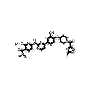 COc1nc(Nc2nccc(-c3ccc(OC4CCN(C(=O)c5n[nH]c(C)n5)CC4)c(C#N)c3)n2)ccc1C(=O)N(C)C